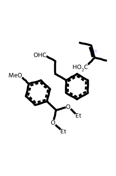 C/C=C(/C)C(=O)O.CCOC(OCC)c1ccc(OC)cc1.O=CCCc1ccccc1